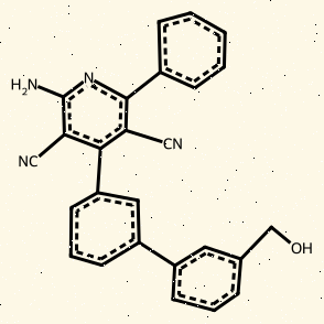 N#Cc1c(N)nc(-c2ccccc2)c(C#N)c1-c1cccc(-c2cccc(CO)c2)c1